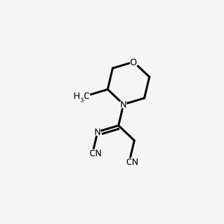 CC1COCCN1C(CC#N)=NC#N